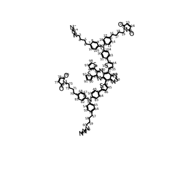 [N-]=[N+]=NCCCCc1ccc(N(c2ccc(CCCCN3C(=O)C=CC3=O)cc2)c2ccc(-c3ccc(-c4c5nsnc5c(-c5ccc(-c6ccc(N(c7ccc(CCCCN=[N+]=[N-])cc7)c7ccc(CCCCN8C(=O)C=CC8=O)cc7)cc6)s5)c5nc(-c6cccs6)c(-c6cccs6)nc45)s3)cc2)cc1